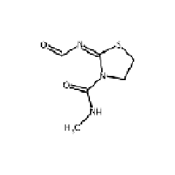 CNC(=O)N1CCS/C1=N/C=O